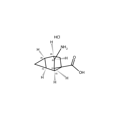 Cl.N[C@@H]1[C@@H]2CC[C@@H]([C@H]3C[C@H]32)[C@@H]1C(=O)O